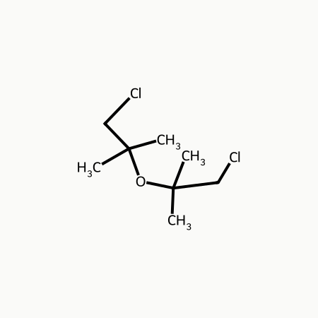 CC(C)(CCl)OC(C)(C)CCl